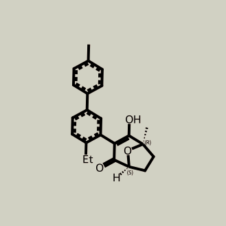 CCc1ccc(-c2ccc(C)cc2)cc1C1=C(O)[C@@]2(C)CC[C@H](O2)C1=O